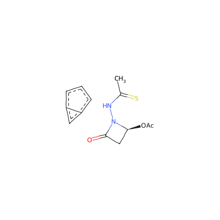 CC(=O)O[C@H]1CC(=O)N1NC(C)=S.c1cc2cc-2c1